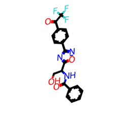 O=C(NC(CO)c1nc(-c2ccc(C(=O)C(F)(F)F)cc2)no1)c1ccccc1